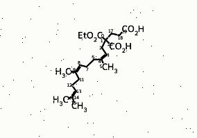 CCOC(=O)C(CC=C(C)CCC=C(C)CCC=C(C)C)(CCC(=O)O)C(=O)O